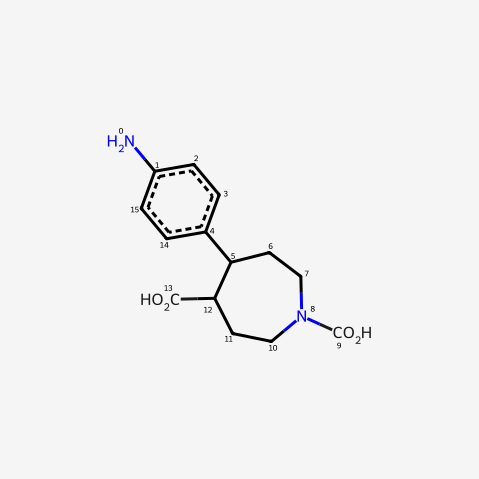 Nc1ccc(C2CCN(C(=O)O)CCC2C(=O)O)cc1